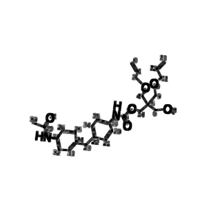 C=CCOCC(COC)(COCC=C)COC(=O)Nc1ccc(Cc2ccc(NC(C)=O)cc2)cc1